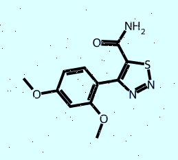 COc1ccc(-c2nnsc2C(N)=O)c(OC)c1